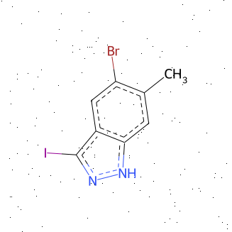 Cc1cc2[nH]nc(I)c2cc1Br